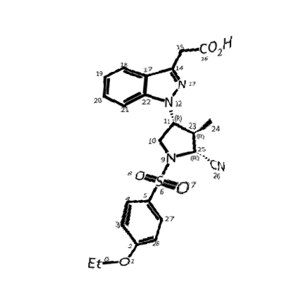 CCOc1ccc(S(=O)(=O)N2C[C@H](n3nc(CC(=O)O)c4ccccc43)[C@@H](C)[C@@H]2C#N)cc1